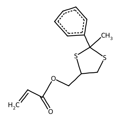 C=CC(=O)OCC1CSC(C)(c2ccccc2)S1